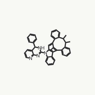 Cc1c2cc3c(c1-c1ccccc1C(C)C(C)c1ccccc1-2)c1ccccc1n3C1=Nc2ncccc2C(c2ccccc2)N1